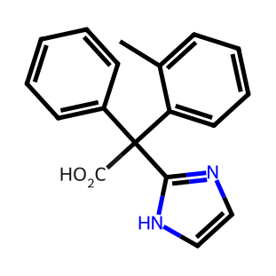 Cc1ccccc1C(C(=O)O)(c1ccccc1)c1ncc[nH]1